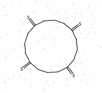 S=C1CCCC(=S)CCCC(=S)CCCC(=S)CCC1